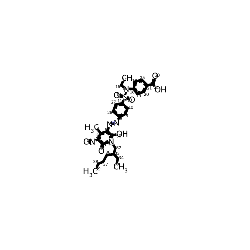 [C-]#[N+]c1c(C)c(/N=N/c2ccc(S(=O)(=O)N(CC)c3ccc(C(=O)O)cc3)cc2)c(O)n(CC(CC)CCCC)c1=O